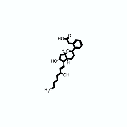 CCCCC[C@H](O)/C=C/[C@@H]1[C@H]2CCC(c3ccccc3CC(=O)O)O[C@H]2C[C@H]1O